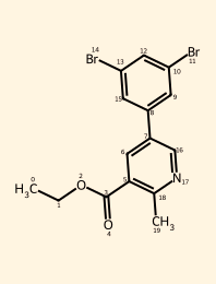 CCOC(=O)c1cc(-c2cc(Br)cc(Br)c2)cnc1C